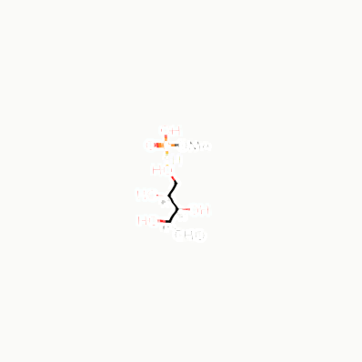 COP(=O)(O)S.O=C[C@H](O)[C@H](O)[C@H](O)CO